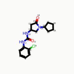 O=C(Nc1ccccc1Cl)NC1CC(=O)N(C2CCCC2)C1